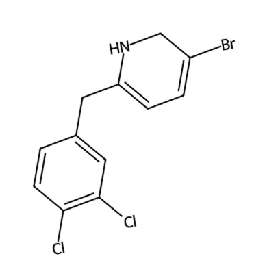 Clc1ccc(CC2=CC=C(Br)CN2)cc1Cl